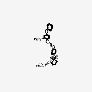 CCCc1cc(Oc2ccccc2)ccc1OCCOc1ccc(S(=O)(=O)N2CCC[C@H]2OC(=O)O)cc1